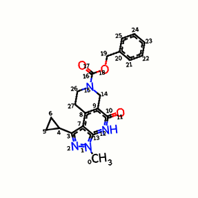 Cn1nc(C2CC2)c2c3c(c(=O)[nH]c21)CN(C(=O)OCc1ccccc1)CC3